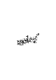 C=CCOc1ccnc(C[S+]([O-])c2nc3cc4c(cc3[nH]2)OC(F)C(F)(F)O4)c1